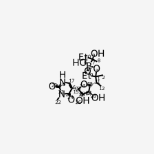 CCC(C)(OP(=O)(O)C(C)(O)CC)C(C)[C@H]1O[C@@H](c2c[nH]c(=O)n(C)c2=O)[C@H](O)[C@@H]1O